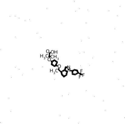 CC(Oc1ccc(OC(C)(C)C(=O)O)cc1)c1cccc2c1cnn2-c1ccc(C(F)(F)F)cc1